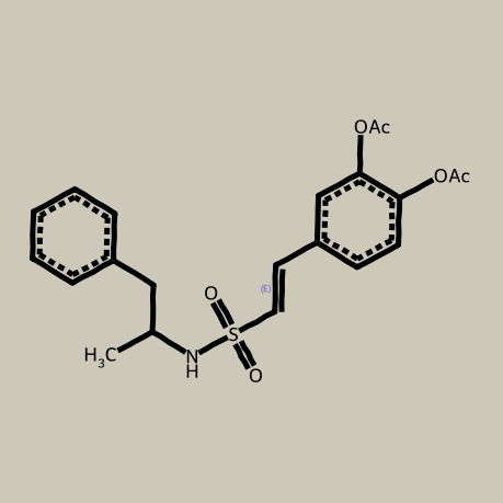 CC(=O)Oc1ccc(/C=C/S(=O)(=O)NC(C)Cc2ccccc2)cc1OC(C)=O